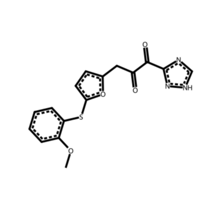 COc1ccccc1Sc1ccc(CC(=O)C(=O)c2nc[nH]n2)o1